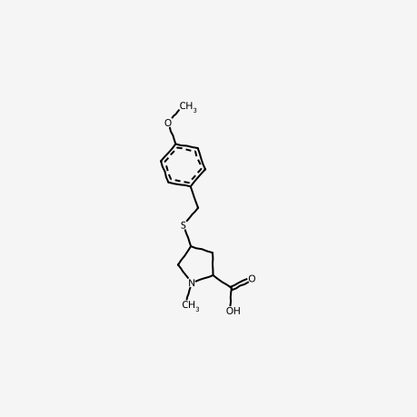 COc1ccc(CSC2CC(C(=O)O)N(C)C2)cc1